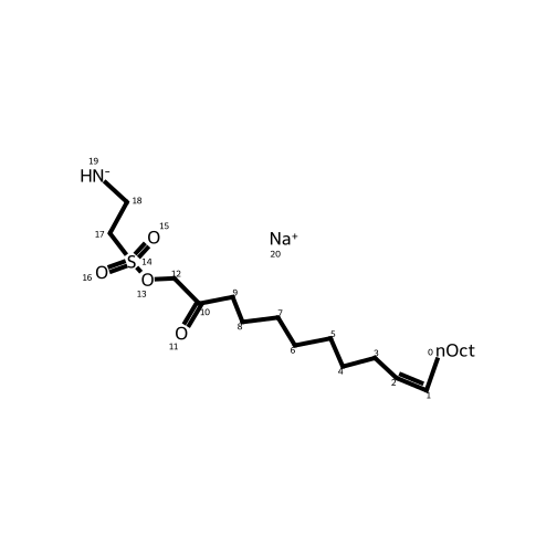 CCCCCCCC/C=C\CCCCCCCC(=O)COS(=O)(=O)CC[NH-].[Na+]